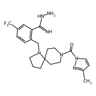 Cc1ccn(C(=O)N2CCC3(CCCN3Cc3ccc(C(F)(F)F)cc3C(=N)NN)CC2)n1